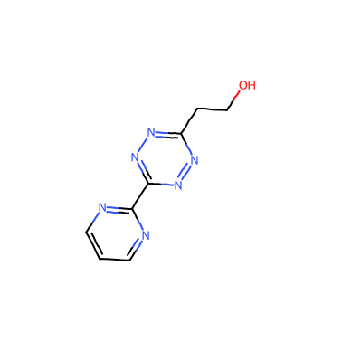 OCCc1nnc(-c2ncccn2)nn1